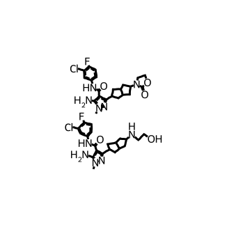 Cn1nc(C2CC3CC(N4CCOC4=O)CC3C2)c(C(=O)Nc2ccc(F)c(Cl)c2)c1N.Cn1nc(C2CC3CC(NCCO)CC3C2)c(C(=O)Nc2ccc(F)c(Cl)c2)c1N